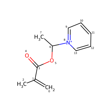 C=C(C)C(=O)OC(C)[n+]1ccccc1